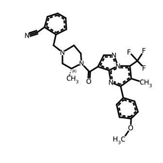 COc1ccc(-c2nc3c(C(=O)N4CCN(Cc5ccccc5C#N)C[C@H]4C)cnn3c(C(F)(F)F)c2C)cc1